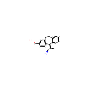 C/C(C#N)=C1\c2ccccc2CCc2cc(CO)ccc21